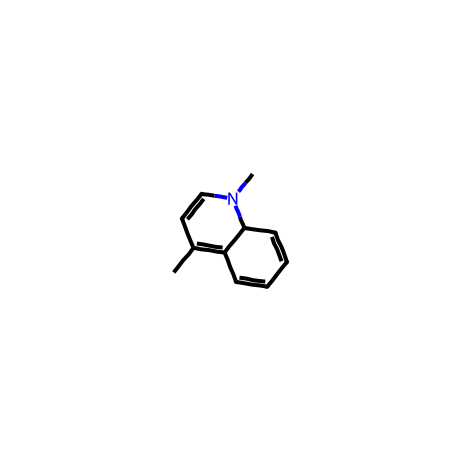 CC1=C2C=CC=CC2N(C)C=C1